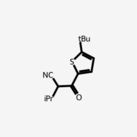 CC(C)C(C#N)C(=O)c1ccc(C(C)(C)C)s1